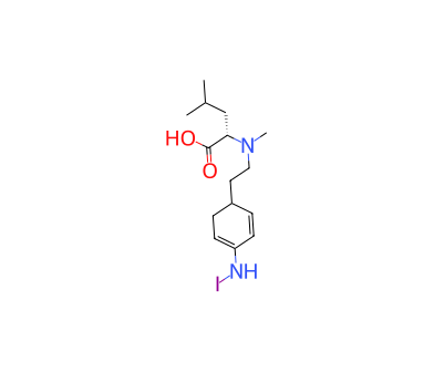 CC(C)C[C@@H](C(=O)O)N(C)CCC1C=CC(NI)=CC1